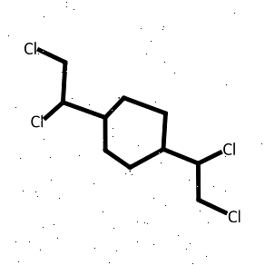 ClCC(Cl)C1[CH]CC(C(Cl)CCl)[CH]C1